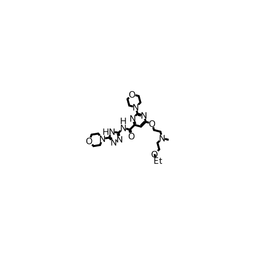 CCOCCN(C)CCOc1cc(C(=O)Nc2nnc(N3CCOCC3)[nH]2)nc(N2CCOCC2)n1